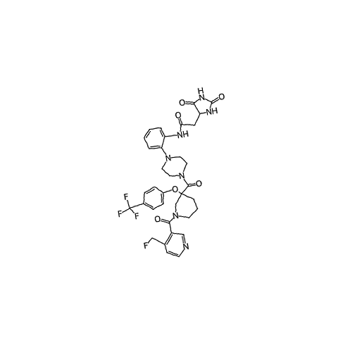 O=C(CC1NC(=O)NC1=O)Nc1ccccc1N1CCN(C(=O)C2(Oc3ccc(C(F)(F)F)cc3)CCCN(C(=O)c3cnccc3CF)C2)CC1